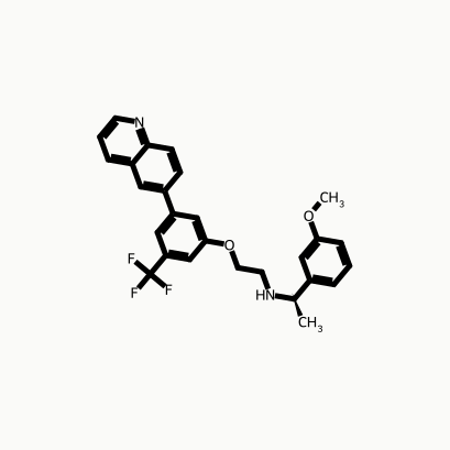 COc1cccc([C@@H](C)NCCOc2cc(-c3ccc4ncccc4c3)cc(C(F)(F)F)c2)c1